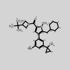 Cn1c(C(=O)N2CC(C(C)(C)C(=O)O)C2)cc(-c2cc(C(C)(C)C)cc(C3(C)CC3)c2)c1CC1CCCCC1